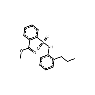 CCCc1ccccc1NS(=O)(=O)c1ccccc1C(=O)OC